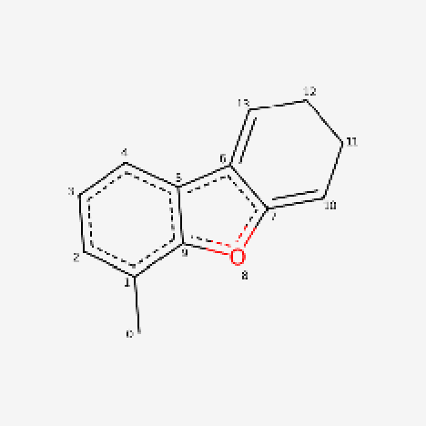 Cc1cccc2c3c(oc12)=CCCC=3